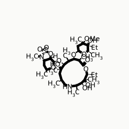 CC[C@H]1OC(=O)[C@H](C)[C@@H](O[C@H]2C[C@@](C)(OC)[C@](O)(CC)[C@H](C)O2)[C@H](C)[C@@H](O[C@@H]2O[C@H](C)CC3[C@H]2OS(=O)(=O)N3C)[C@](C)(O)C[C@@H](C)CN[C@H](C)[C@@H](O)[C@]1(C)O